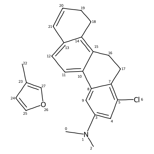 CN(C)c1cc(Cl)c2c(c1)-c1ccc3c(c1CC2)CCC=C3.Cc1ccoc1